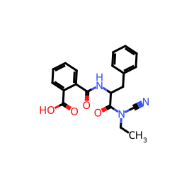 CCN(C#N)C(=O)C(Cc1ccccc1)NC(=O)c1ccccc1C(=O)O